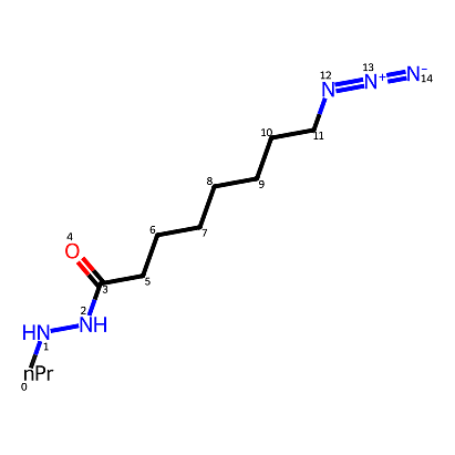 CCCNNC(=O)CCCCCCCN=[N+]=[N-]